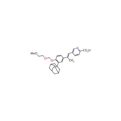 COCCOCOc1ccc(/C(C)=C/c2ccc(C(=O)O)nc2)cc1C12CC3CC(CC(C3)C1)C2